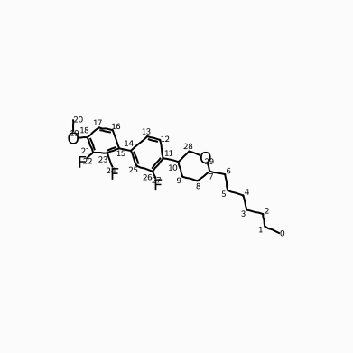 CCCCCCCC1CCC(c2ccc(-c3ccc(OC)c(F)c3F)cc2F)CO1